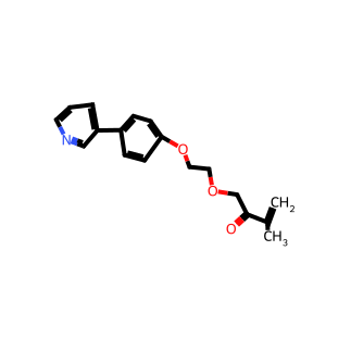 C=C(C)C(=O)COCCOc1ccc(-c2cccnc2)cc1